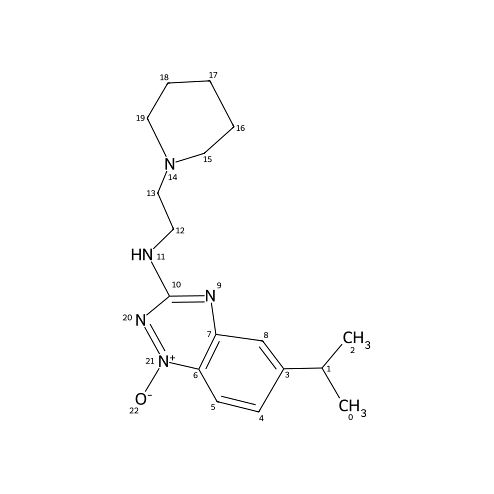 CC(C)c1ccc2c(c1)nc(NCCN1CCCCC1)n[n+]2[O-]